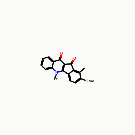 CCn1c2c(c(=O)c3ccccc31)C(=O)c1c-2ccc(OC)c1C